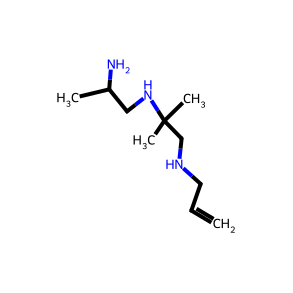 C=CCNCC(C)(C)NCC(C)N